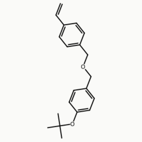 C=Cc1ccc(COCc2ccc(OC(C)(C)C)cc2)cc1